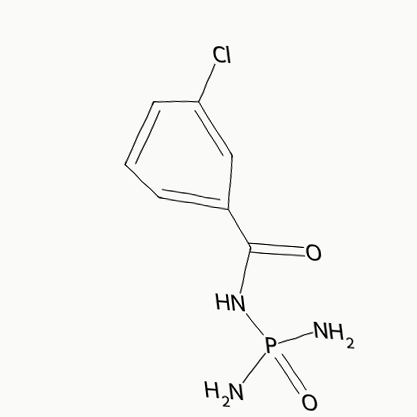 NP(N)(=O)NC(=O)c1cccc(Cl)c1